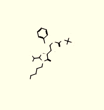 CCCCCN1C(=O)[C@H]([C@@H](O)[C@H](Cc2ccccc2)NC(=O)OC(C)(C)C)NC1C(C)C